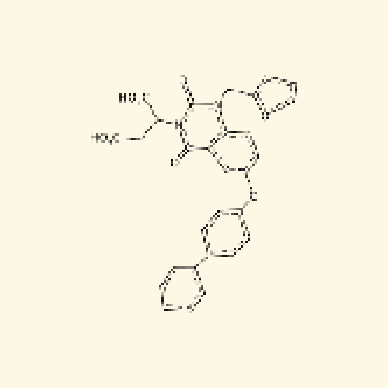 O=C(O)CC(C(=O)O)n1c(=O)c2cc(Oc3ccc(-c4ccccc4)cc3)ccc2n(Cc2ccco2)c1=O